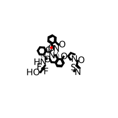 O=C(NCC(F)(F)CO)[C@H]1CCCC[C@H]1C(=O)N1CCc2cccc(OC3CCN(C(=O)c4cncs4)C3)c2[C@H]1CN1C(=O)c2ccccc2C1=O